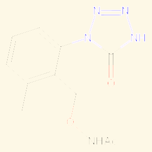 CC(=O)NOCc1c(C)cccc1-n1nn[nH]c1=O